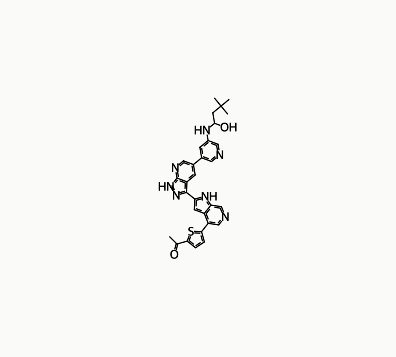 CC(=O)c1ccc(-c2cncc3[nH]c(-c4n[nH]c5ncc(-c6cncc(NC(O)CC(C)(C)C)c6)cc45)cc23)s1